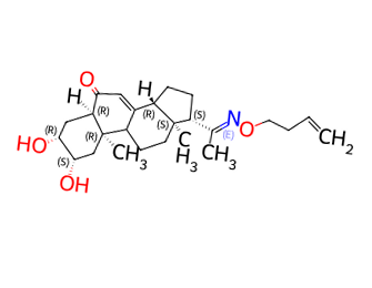 C=CCCO/N=C(\C)[C@H]1CC[C@H]2C3=CC(=O)[C@@H]4C[C@@H](O)[C@@H](O)C[C@]4(C)C3CC[C@]12C